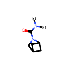 CCN(CC)C(=O)N1CC2CC1C2